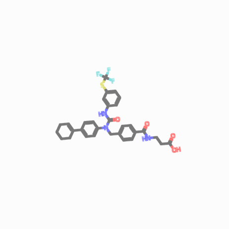 O=C(O)CCNC(=O)c1ccc(CN(C(=O)Nc2cccc(SC(F)(F)F)c2)c2ccc(C3=CCCCC3)cc2)cc1